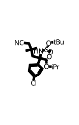 CC(C)OC(=O)C(CC(C)(C)CC#N)(NS(=O)OC(C)(C)C)c1ccc(Cl)cc1